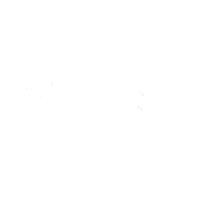 CC1(C)c2ccccc2-c2cc3c(cc21)Oc1ccc(-c2ccccc2C(=N)/C=C\C(=N)c2cccc4ccccc24)cc1O3